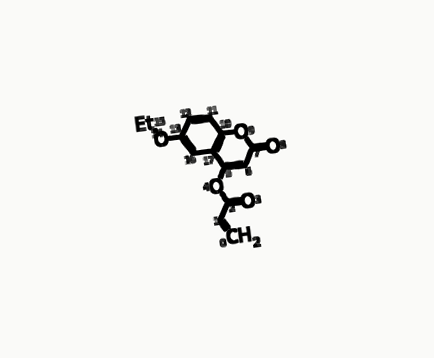 C=CC(=O)Oc1cc(=O)oc2ccc(OCC)cc12